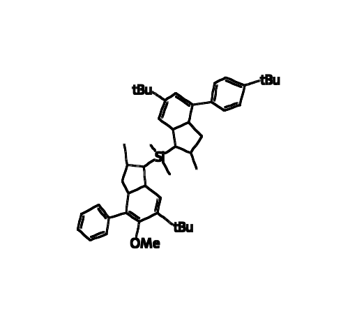 COC1=C(c2ccccc2)C2CC(C)C([Si](C)(C)C3C(C)CC4C(c5ccc(C(C)(C)C)cc5)=CC(C(C)(C)C)=CC43)C2C=C1C(C)(C)C